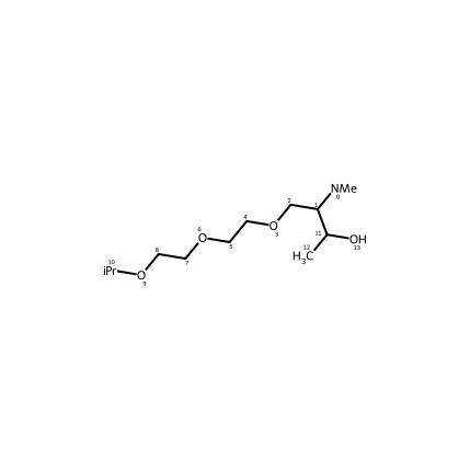 CNC(COCCOCCOC(C)C)C(C)O